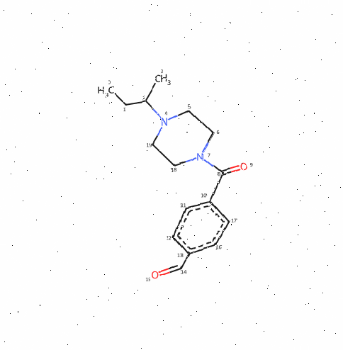 CCC(C)N1CCN(C(=O)c2ccc(C=O)cc2)CC1